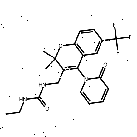 CCNC(=O)NCC1=C(n2ccccc2=O)c2cc(C(F)(F)F)ccc2OC1(C)C